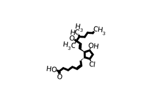 CCCCC(C)[C@@](C)(O)/C=C/[C@@H]1[C@@H](C/C=C\CCCC(=O)O)[C@H](Cl)C[C@H]1O